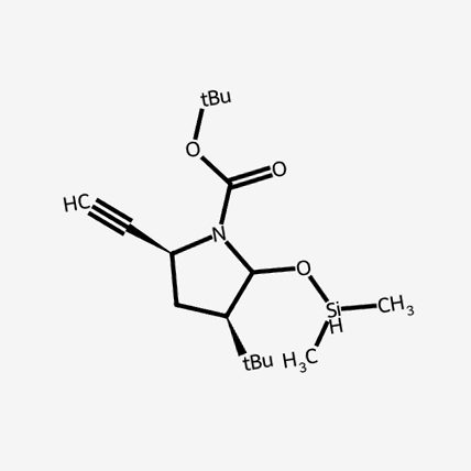 C#C[C@@H]1C[C@H](C(C)(C)C)C(O[SiH](C)C)N1C(=O)OC(C)(C)C